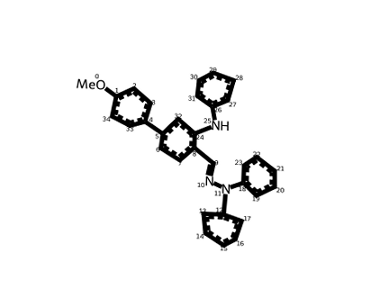 COc1ccc(-c2ccc(C=NN(c3ccccc3)c3ccccc3)c(Nc3ccccc3)c2)cc1